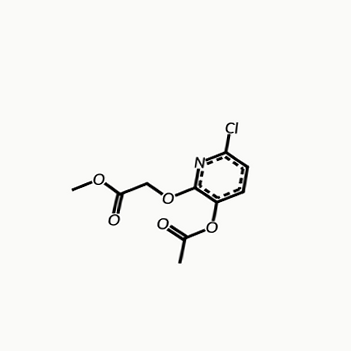 COC(=O)COc1nc(Cl)ccc1OC(C)=O